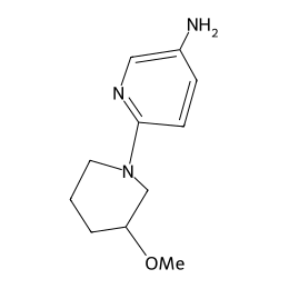 COC1CCCN(c2ccc(N)cn2)C1